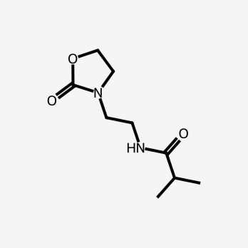 CC(C)C(=O)NCCN1CCOC1=O